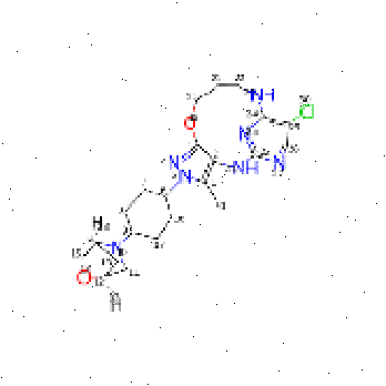 Cc1c2c(nn1C1CCC(N3C[C@@H]4C[C@H]3CO4)CC1)OCCCNc1nc(ncc1Cl)N2